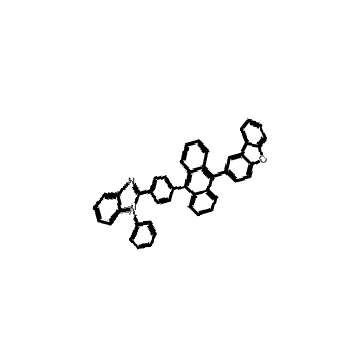 c1ccc(-n2c(-c3ccc(-c4c5ccccc5c(-c5ccc6oc7ccccc7c6c5)c5ccccc45)cc3)nc3ccccc32)cc1